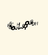 CC1Cc2c(CC(=O)O)cccc2OC1CCCNCc1ccc(OC(F)(F)F)cc1